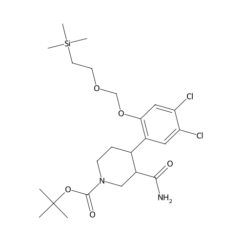 CC(C)(C)OC(=O)N1CCC(c2cc(Cl)c(Cl)cc2OCOCC[Si](C)(C)C)C(C(N)=O)C1